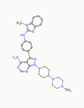 CN1CCN(C2CCC(n3nc(-c4ccc(Nc5nc6ccccc6n5C)cc4)c4c(N)ncnc43)CC2)CC1